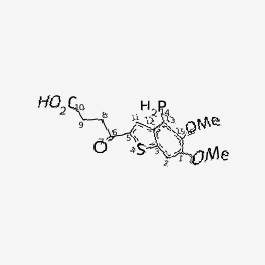 COc1cc2sc(C(=O)CCC(=O)O)cc2c(P)c1OC